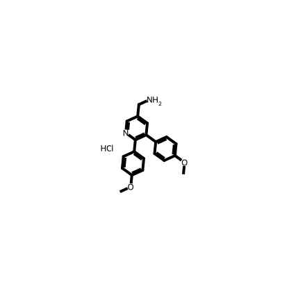 COc1ccc(-c2cc(CN)cnc2-c2ccc(OC)cc2)cc1.Cl